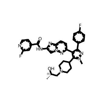 C[C@H](O)CN1CCC(c2c(-c3ccc4nc(NC(=O)c5ccnc(F)c5)cn4n3)c(-c3ccc(F)cc3)nn2C)CC1